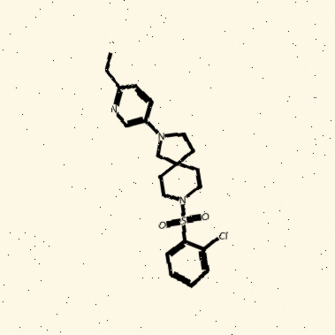 CCc1ccc(N2CCC3(CCN(S(=O)(=O)c4ccccc4Cl)CC3)C2)cn1